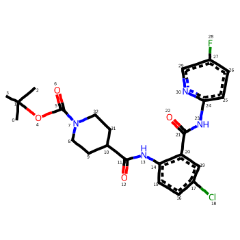 CC(C)(C)OC(=O)N1CCC(C(=O)Nc2ccc(Cl)cc2C(=O)Nc2ccc(F)cn2)CC1